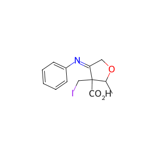 CC1OCC(=Nc2ccccc2)C1(CI)C(=O)O